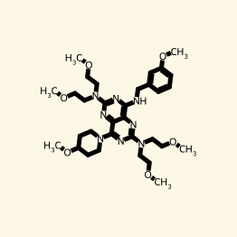 COCCN(CCOC)c1nc(N2CCC(OC)CC2)c2nc(N(CCOC)CCOC)nc(NCc3cccc(OC)c3)c2n1